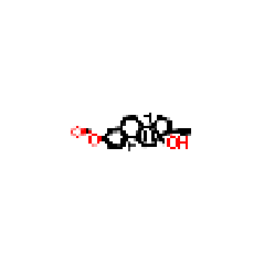 C#C[C@]1(O)CC[C@H]2[C@@H]3CCc4cc(OC=O)ccc4[C@H]3CCC21C